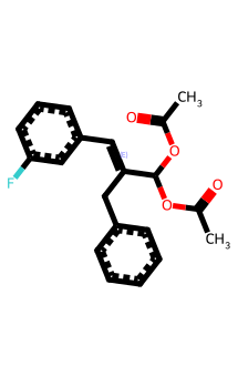 CC(=O)OC(OC(C)=O)/C(=C/c1cccc(F)c1)Cc1ccccc1